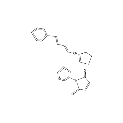 C1=CCCC1.N#CC=CC=Cc1ccccc1.O=C1C=CC(=O)N1c1ccccc1